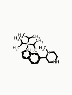 CC(C)[Si](C(C)C)(C(C)C)n1ccc2ccc(C3CNCCN3C)cc21